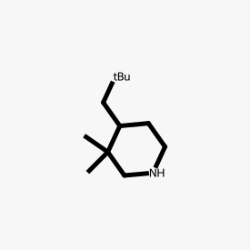 CC(C)(C)C[C]1CCNCC1(C)C